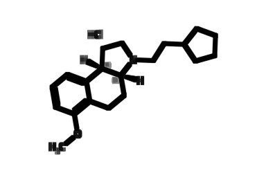 COc1cccc2c1CC[C@@H]1[C@H]2CCN1CCC1CCCC1.Cl